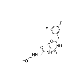 COCCNCC(=O)NC(=O)[C@H](C)NC(=O)Cc1cc(F)cc(F)c1